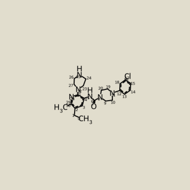 CCc1cc(NC(=O)N2CCN(c3cccc(Cl)c3)CC2)c(N2CCNCC2)nc1C